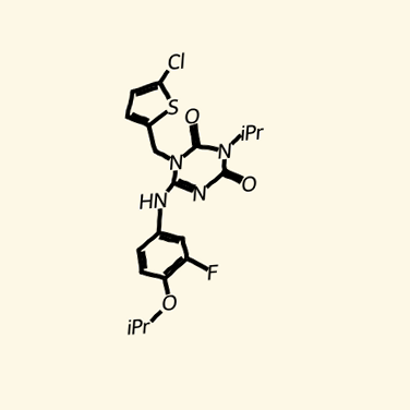 CC(C)Oc1ccc(Nc2nc(=O)n(C(C)C)c(=O)n2Cc2ccc(Cl)s2)cc1F